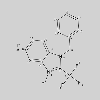 C[n+]1c(C(F)(F)F)n(Cc2ccccc2)c2ccccc21.[I-]